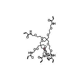 C=CC(=O)NCOCCOCC(COCCOCNC(=O)C=C)(COCCOCNC(=O)C=C)COCC(COOCNC(=O)C=C)(COOCNC(=O)C=C)COOCNC(=O)C=C